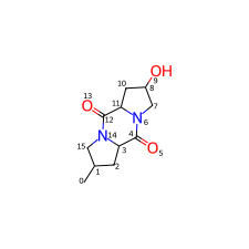 CC1CC2C(=O)N3CC(O)CC3C(=O)N2C1